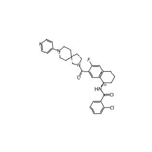 O=C(N[C@@H]1CCCc2cc(F)c(C(=O)N3CCC4(CCN(c5ccncc5)CC4)C3)cc21)c1ccccc1Cl